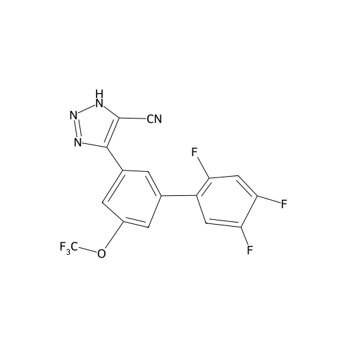 N#Cc1[nH]nnc1-c1cc(OC(F)(F)F)cc(-c2cc(F)c(F)cc2F)c1